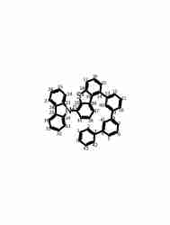 c1ccc(-c2cccc(-c3cccc(-c4cccc5sc6c(-n7c8ccccc8c8ccccc87)cccc6c45)c3)c2)cc1